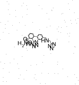 NS(=O)(=O)c1cccc(-c2ccc(CNCC3=NCN=N3)cc2)c1-c1nnn[nH]1